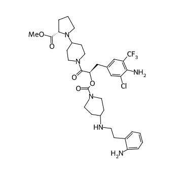 COC(=O)[C@@H]1CCCN1C1CCN(C(=O)[C@@H](Cc2cc(Cl)c(N)c(C(F)(F)F)c2)OC(=O)N2CCC(NCCc3ccccc3N)CC2)CC1